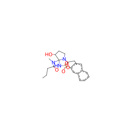 CCCC(=O)N(C)C1(NS(=O)(=O)c2ccc3ccccc3c2)C(O)CCN1C(=O)CC